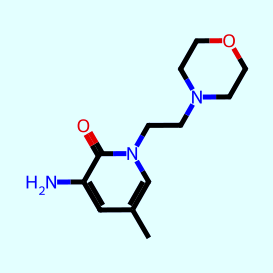 Cc1cc(N)c(=O)n(CCN2CCOCC2)c1